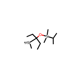 CCC(CC)(O[Si](C)(C)C(C)C)[SiH](C)C